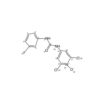 O=C(Nc1cccc(F)c1)Nc1cc(Cl)[n+]([O-])c(Cl)c1